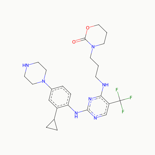 O=C1OCCCN1CCCNc1nc(Nc2ccc(N3CCNCC3)cc2C2CC2)ncc1C(F)(F)F